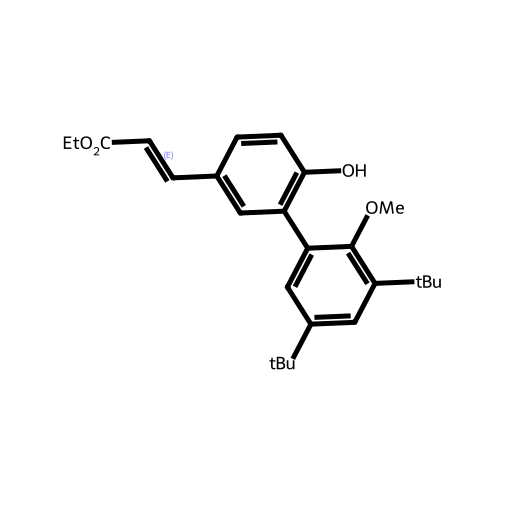 CCOC(=O)/C=C/c1ccc(O)c(-c2cc(C(C)(C)C)cc(C(C)(C)C)c2OC)c1